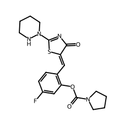 O=C1N=C(N2CCCCN2)SC1=Cc1ccc(F)cc1OC(=O)N1CCCC1